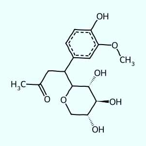 COc1cc(C(CC(C)=O)C2OC[C@@H](O)[C@H](O)[C@H]2O)ccc1O